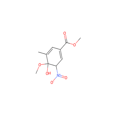 COC(=O)C1=CC([N+](=O)[O-])C(O)(OC)C(C)=C1